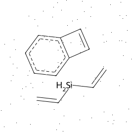 C1=Cc2ccccc21.C=C[SiH2]C=C